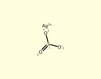 O=S([O-])[O-].[Ag+2]